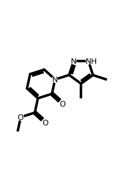 COC(=O)c1cccn(-c2n[nH]c(C)c2C)c1=O